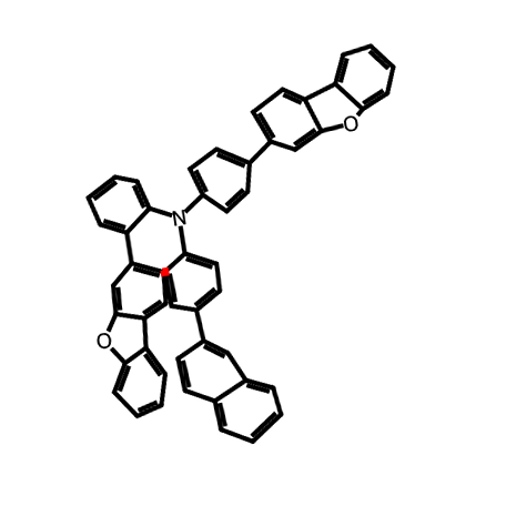 c1ccc(N(c2ccc(-c3ccc4ccccc4c3)cc2)c2ccc(-c3ccc4c(c3)oc3ccccc34)cc2)c(-c2ccc3c(c2)oc2ccccc23)c1